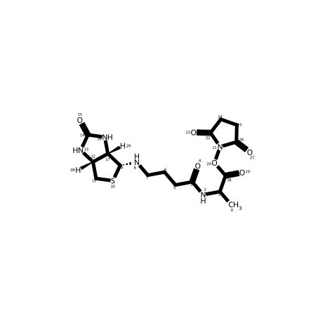 CC(NC(=O)CCCN[C@@H]1SC[C@@H]2NC(=O)N[C@@H]21)C(=O)ON1C(=O)CCC1=O